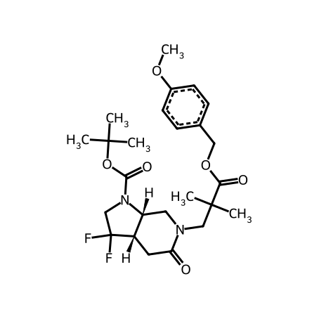 COc1ccc(COC(=O)C(C)(C)CN2C[C@@H]3[C@H](CC2=O)C(F)(F)CN3C(=O)OC(C)(C)C)cc1